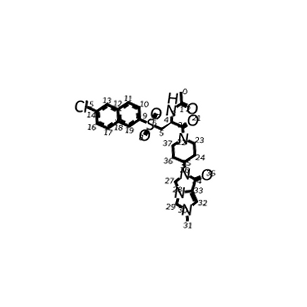 CC(=O)N[C@H](CS(=O)(=O)c1ccc2cc(Cl)ccc2c1)C(=O)N1CCC(N2CN3CN(C)C=C3C2=O)CC1